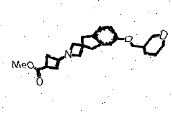 COC(=O)C1CC(N2CC3(Cc4ccc(OCC5CCCOC5)cc4C3)C2)C1